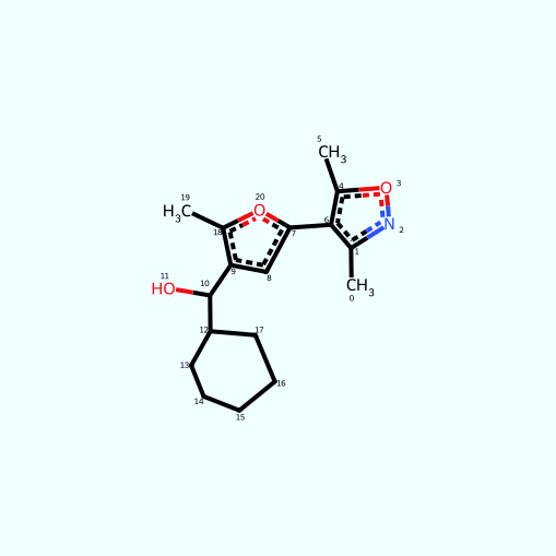 Cc1noc(C)c1-c1cc(C(O)C2CCCCC2)c(C)o1